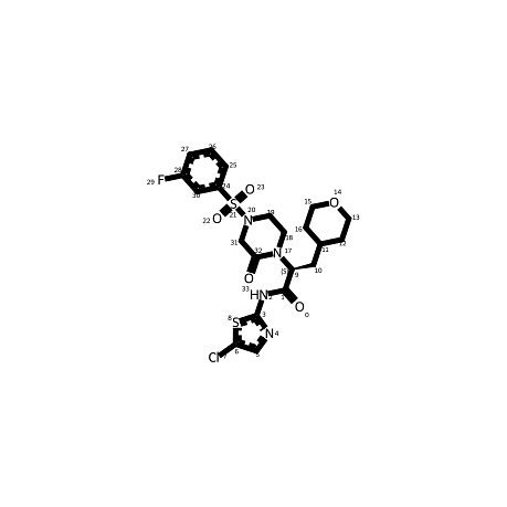 O=C(Nc1ncc(Cl)s1)[C@H](CC1CCOCC1)N1CCN(S(=O)(=O)c2cccc(F)c2)CC1=O